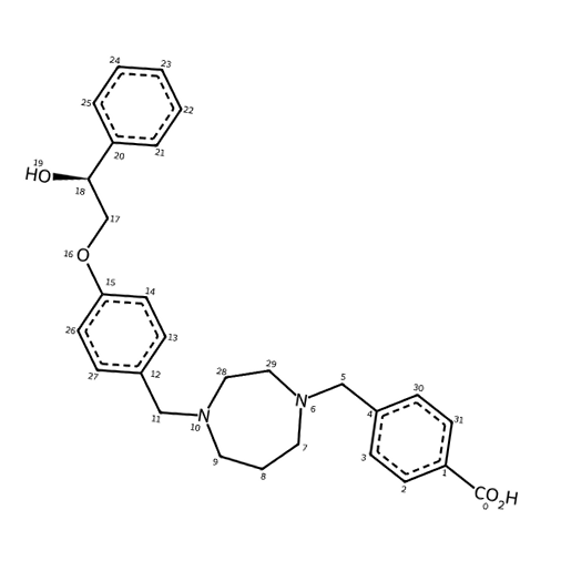 O=C(O)c1ccc(CN2CCCN(Cc3ccc(OC[C@@H](O)c4ccccc4)cc3)CC2)cc1